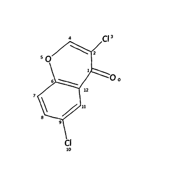 O=c1c(Cl)coc2ccc(Cl)cc12